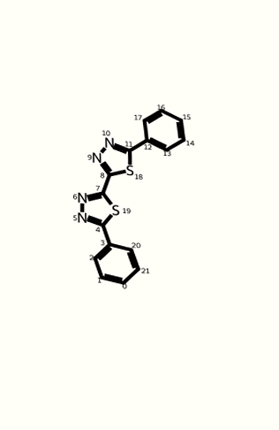 c1ccc(-c2nnc(-c3nnc(-c4ccccc4)s3)s2)cc1